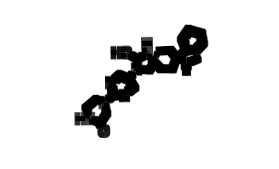 CN(C)[C@]1(c2ccccc2)CC[C@]2(CC1)CN(c1cnc(N3CCNC(=O)C3)nc1)C(O)N2